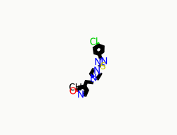 COc1cc(CCN2CCN(c3nc(-c4ccc(Cl)cc4)ns3)CC2)ccn1